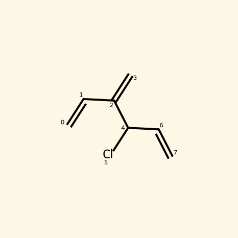 C=CC(=C)C(Cl)C=C